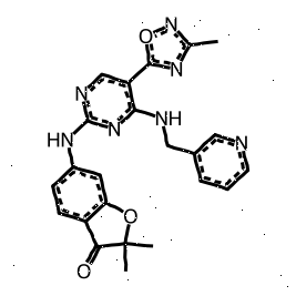 Cc1noc(-c2cnc(Nc3ccc4c(c3)OC(C)(C)C4=O)nc2NCc2cccnc2)n1